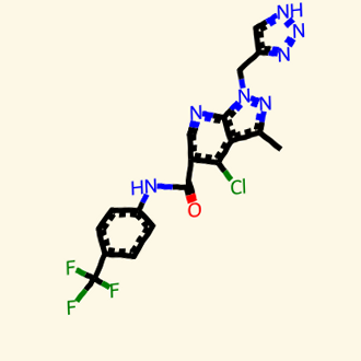 Cc1nn(Cc2c[nH]nn2)c2ncc(C(=O)Nc3ccc(C(F)(F)F)cc3)c(Cl)c12